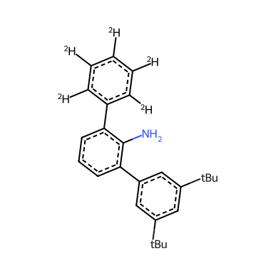 [2H]c1c([2H])c([2H])c(-c2cccc(-c3cc(C(C)(C)C)cc(C(C)(C)C)c3)c2N)c([2H])c1[2H]